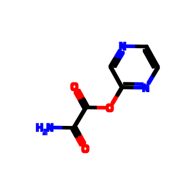 NC(=O)C(=O)Oc1cnccn1